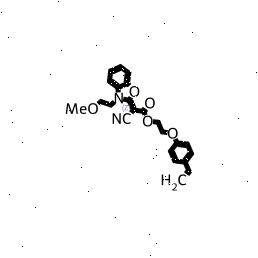 C=Cc1ccc(OCCOC(=O)/C(C#N)=C2\Oc3ccccc3N2CCOC)cc1